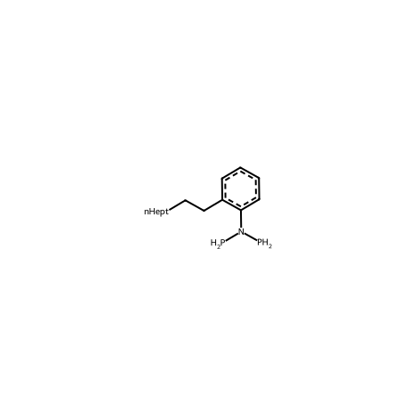 CCCCCCCCCc1ccccc1N(P)P